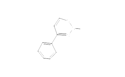 ON1N=C(c2ccccc2)C=CN1